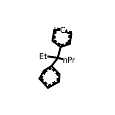 [CH2]CCC(CC)(c1ccccc1)c1ccccc1